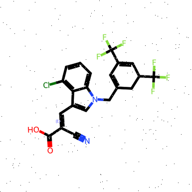 N#C/C(=C\c1cn(CC2=CC(C(F)(F)F)=CC(C(F)(F)F)C2)c2cccc(Cl)c12)C(=O)O